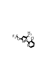 Cc1cc(OC(F)(F)F)nn1-c1ncccc1Cl